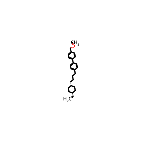 C=C[C@H]1CC[C@H](CCCCc2ccc(-c3ccc(COC)cc3)cc2)CC1